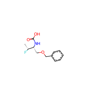 C[C@@H](F)[C@@H](COCc1ccccc1)NC(=O)O